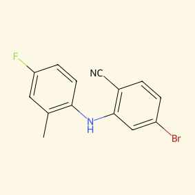 Cc1cc(F)ccc1Nc1cc(Br)ccc1C#N